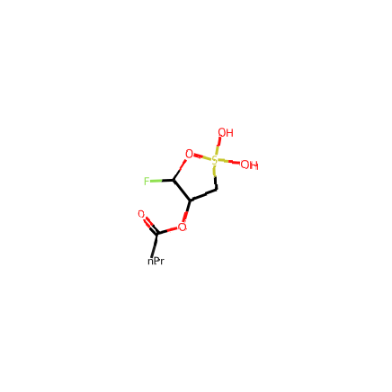 CCCC(=O)OC1CS(O)(O)OC1F